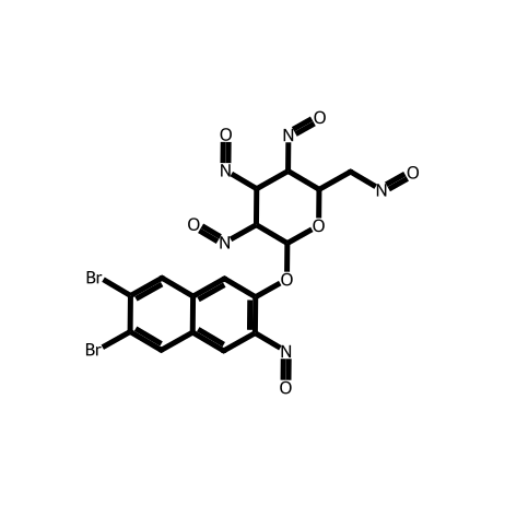 O=NCC1OC(Oc2cc3cc(Br)c(Br)cc3cc2N=O)C(N=O)C(N=O)C1N=O